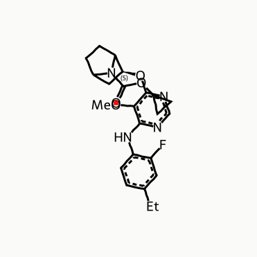 CCc1ccc(Nc2ncnc(O[C@H]3CC4CCC3N4C(=O)OC3CC3)c2OC)c(F)c1